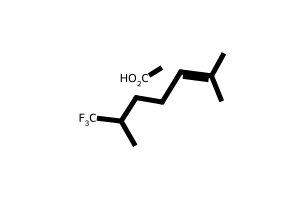 CC(=O)O.CC(C)=CCCC(C)C(F)(F)F